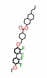 CCCC1CCC2CC(OC(=O)C3CCC(COc4ccc(-c5ccc(OCC)c(F)c5F)c(F)c4F)CC3)CCC2C1